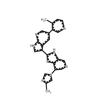 Cc1cn(-c2cncc3[nH]c(-c4c[nH]c5ncc(-c6cnccc6C)cc45)nc23)cn1